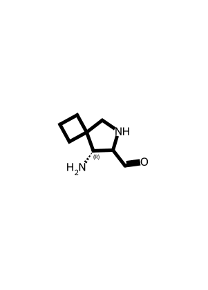 N[C@H]1C(C=O)NCC12CCC2